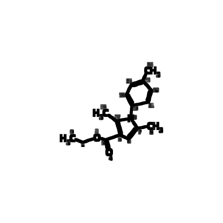 CCOC(=O)c1cc(C)n(-c2ccc(C)cc2)c1C